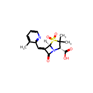 Cc1cccnc1/C=C1/C(=O)N2[C@@H](C(=O)O)C(C)(C)S(=O)(=O)[C@H]12